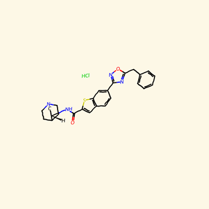 Cl.O=C(N[C@H]1CN2CCC1CC2)c1cc2ccc(-c3noc(Cc4ccccc4)n3)cc2s1